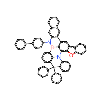 c1ccc(-c2ccc(N3B4c5cccc6c5N(c5ccccc5C6(c5ccccc5)c5ccccc5)c5c4c(cc4c5oc5ccccc54)-c4cc5ccccc5cc43)cc2)cc1